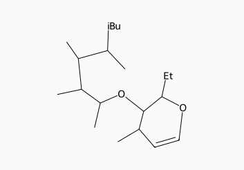 CCC(C)C(C)C(C)C(C)C(C)OC1C(C)C=COC1CC